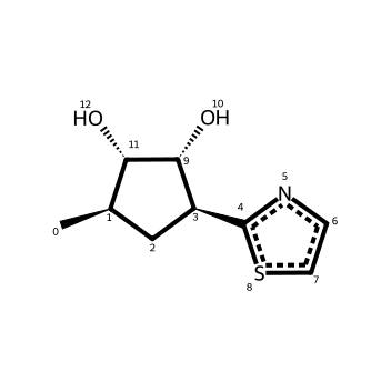 C[C@@H]1C[C@H](c2nccs2)[C@@H](O)[C@H]1O